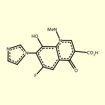 CNn1cc(C(=O)O)c(=O)c2cc(F)c(-n3ccnc3)c(O)c21